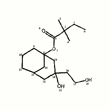 CCC(C)(C)C(=O)OC12CCCC(CC(O)(CCO)C1)C2